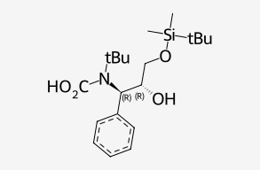 CC(C)(C)N(C(=O)O)[C@H](c1ccccc1)[C@@H](O)CO[Si](C)(C)C(C)(C)C